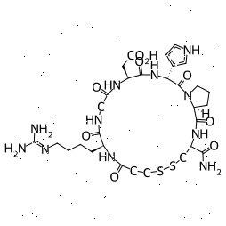 NC(=O)C1CSSCCC(=O)N[C@@H](CCCCN=C(N)N)C(=O)NCC(=O)N[C@@H](CC(=O)O)C(=O)N[C@H](c2cc[nH]c2)C(=O)N2CCC[C@H]2C(=O)N1